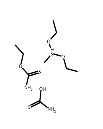 CCOC(N)=S.CCO[SiH](C)OCC.NC(O)=S